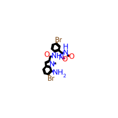 Cn1c(C(=O)Nc2ccc(Br)cc2-c2noc(=O)[nH]2)cc2ccc(Br)c(N)c21